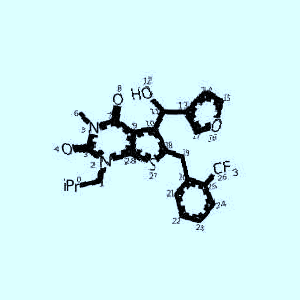 CC(C)Cn1c(=O)n(C)c(=O)c2c(C(O)c3ccoc3)c(Cc3ccccc3C(F)(F)F)sc21